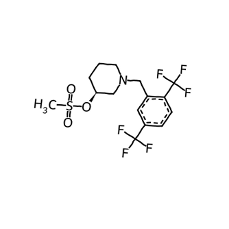 CS(=O)(=O)O[C@H]1CCCN(Cc2cc(C(F)(F)F)ccc2C(F)(F)F)C1